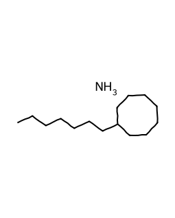 CCCCCCCC1CCCCCCC1.N